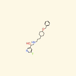 O[C@@H](CNCCCC1CCC(OCc2ccccc2)CC1)c1cncc(F)c1